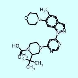 Cc1cc2cnn(-c3cc(N4CCN(C(=O)O)C(C(C)(C)C)C4)ncn3)c2cc1N1CCOCC1